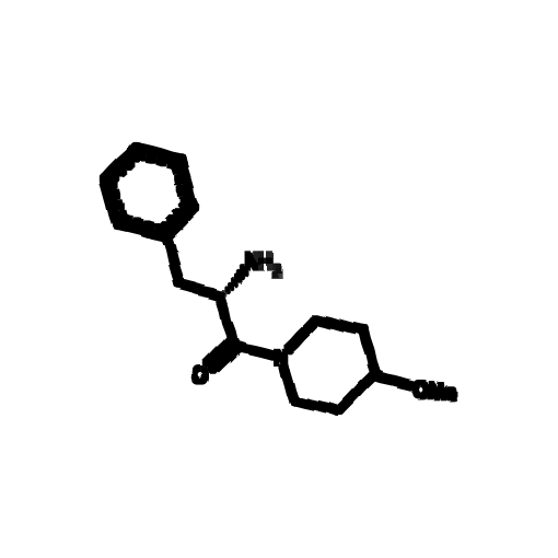 COC1CCN(C(=O)[C@@H](N)Cc2ccccc2)CC1